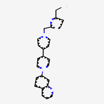 CCc1cccc(C[n+]2ccc(-c3cc[n+](-c4ccc5cccnc5c4)cc3)cc2)n1